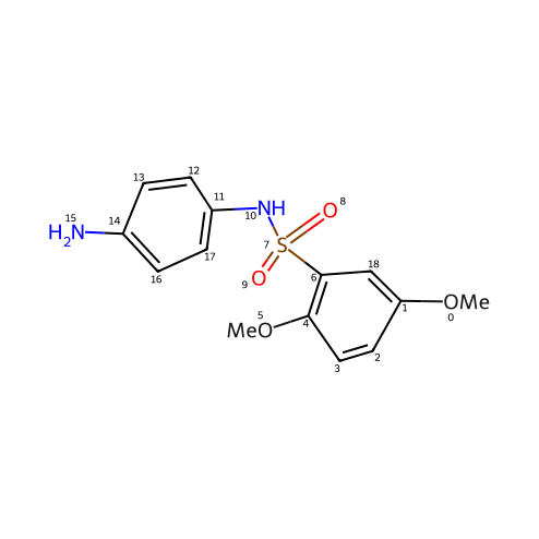 COc1ccc(OC)c(S(=O)(=O)Nc2ccc(N)cc2)c1